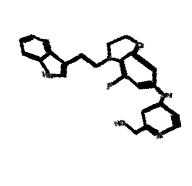 OCc1cc(Nc2cc(F)c3c(c2)OCCN3CCc2c[nH]c3ccccc23)ccn1